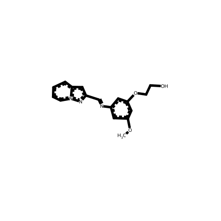 COc1cc(N=Cc2cc3ccccn3n2)cc(OCCO)c1